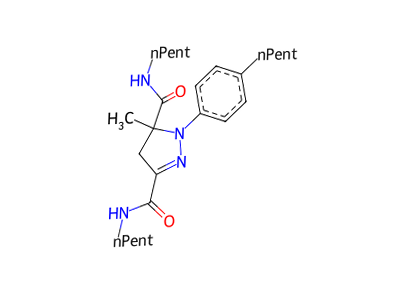 CCCCCNC(=O)C1=NN(c2ccc(CCCCC)cc2)C(C)(C(=O)NCCCCC)C1